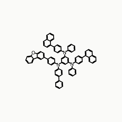 c1ccc(-c2ccc(N(c3ccc(-c4ccc5oc6ccccc6c5c4)cc3)c3cc(N(c4ccccc4)c4ccc(-c5cccc6ccccc56)cc4)cc(N(c4ccccc4)c4ccc(-c5cccc6ccccc56)cc4)c3)cc2)cc1